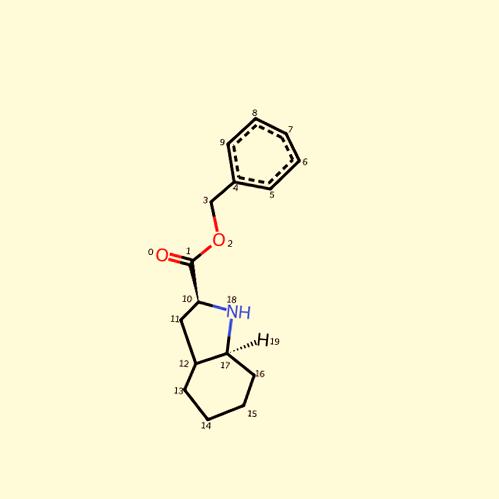 O=C(OCc1ccccc1)[C@@H]1CC2CCCC[C@@H]2N1